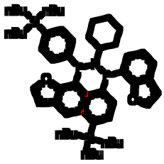 CCCC[Si](CCCC)(CCCC)c1ccc(P(c2cccc3ccoc23)N(C2CCCCC2)P(c2ccc([Si](CCCC)(CCCC)CCCC)cc2)c2cccc3ccoc23)cc1